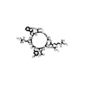 CC(=O)N[C@H](CCCNC(=N)N)C(=O)N[C@H]1CC(=O)NCCCCC(C(N)=O)NC(=O)[C@H](Cc2c[nH]c3ccccc23)NC(=O)[C@H](CCCNC(=N)N)NC(=O)[C@@H](Cc2cccc(Cl)c2)NC(=O)[C@H](CCC(N)=O)NC1=O